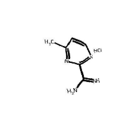 Cc1ccnc(C(=N)N)n1.Cl